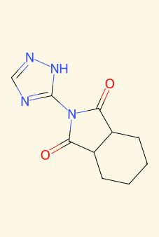 O=C1C2CCCCC2C(=O)N1c1ncn[nH]1